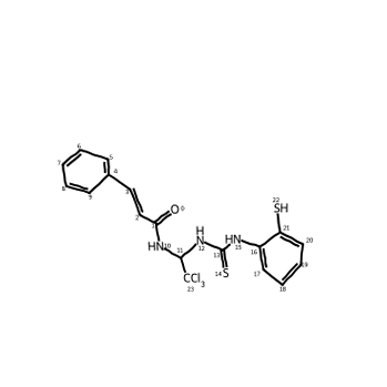 O=C(/C=C/c1ccccc1)NC(NC(=S)Nc1ccccc1S)C(Cl)(Cl)Cl